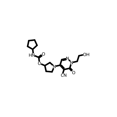 N#Cc1c(N2CCC(OC(=O)NC3CCCC3)C2)cnn(CCO)c1=O